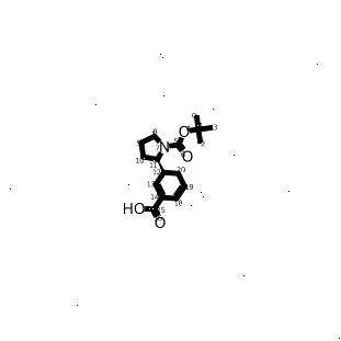 CC(C)(C)OC(=O)N1CCC[C@@H]1C1C=C(C(=O)O)C=CC1